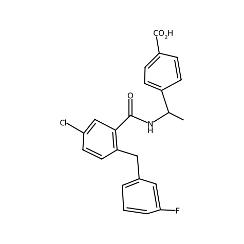 CC(NC(=O)c1cc(Cl)ccc1Cc1cccc(F)c1)c1ccc(C(=O)O)cc1